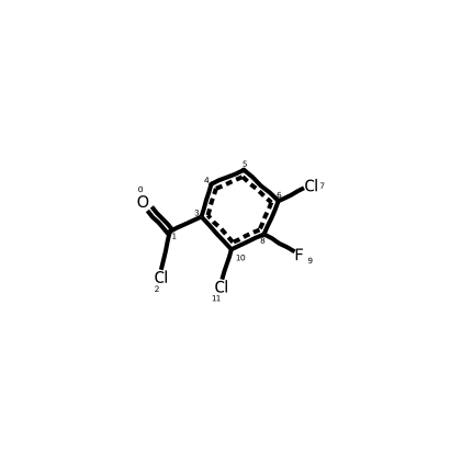 O=C(Cl)c1ccc(Cl)c(F)c1Cl